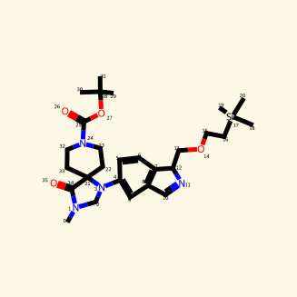 CN1CN(c2ccc3c(c2)C=NC3COCC[Si](C)(C)C)C2(CCN(C(=O)OC(C)(C)C)CC2)C1=O